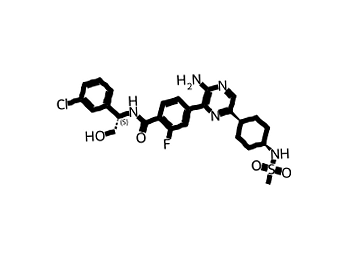 CS(=O)(=O)N[C@H]1CC[C@@H](c2cnc(N)c(-c3ccc(C(=O)N[C@H](CO)c4cccc(Cl)c4)c(F)c3)n2)CC1